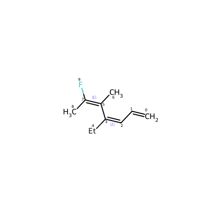 C=C/C=C(CC)\C(C)=C(/C)F